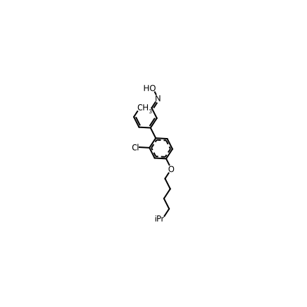 C\C=C/C(=C\C=N\O)c1ccc(OCCCCC(C)C)cc1Cl